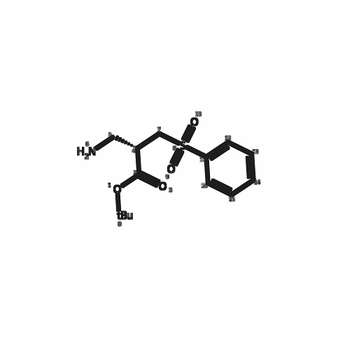 CC(C)(C)OC(=O)[C@H](CN)CS(=O)(=O)c1ccccc1